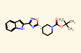 CC(C)(C)OC(=O)N1CCC[C@H](c2nc(-c3cc4ccccc4[nH]3)no2)C1